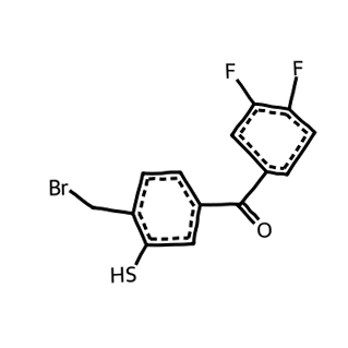 O=C(c1ccc(F)c(F)c1)c1ccc(CBr)c(S)c1